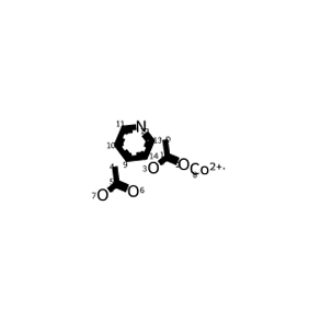 CC(=O)[O-].CC(=O)[O-].[Co+2].c1ccncc1